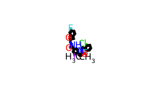 CC1(C)C(=O)N(Cc2c(F)cccc2Cl)c2cc(C(=O)NCc3cc4ccc(F)cc4o3)cc(I)c21